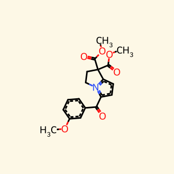 COC(=O)C1(C(=O)OC)CCn2c(C(=O)c3cccc(OC)c3)ccc21